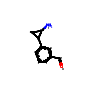 NC1CC1c1cccc(C=O)c1